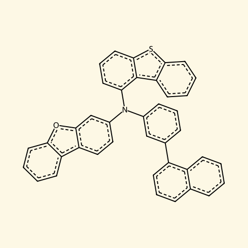 c1cc(-c2cccc3ccccc23)cc(N(c2ccc3c(c2)oc2ccccc23)c2cccc3sc4ccccc4c23)c1